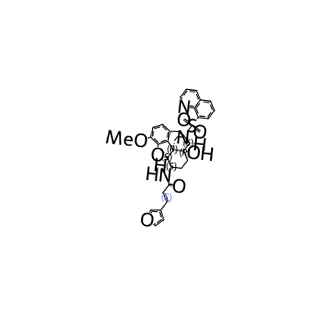 COc1ccc2c3c1O[C@@H]1[C@@H](NC(=O)/C=C/c4ccoc4)CC[C@]4(O)[C@H](C2)N(S(=O)(=O)c2cccc5cccnc25)CC[C@@]314